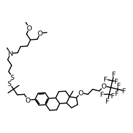 COCC(CCCN(C)CCCSSC(C)(C)CCOc1ccc2c(c1)CCC1C2CCC2(C)C(OCCCOC(C(F)(F)F)(C(F)(F)F)C(F)(F)F)CCC12)COC